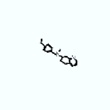 CCc1ccc(CN(C)C2CCc3cccnc3C2)cc1